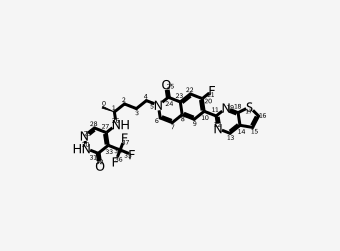 C[C@@H](CCCn1ccc2cc(-c3ncc4ccsc4n3)c(F)cc2c1=O)Nc1cn[nH]c(=O)c1C(F)(F)F